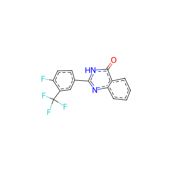 O=c1[nH]c(-c2ccc(F)c(C(F)(F)F)c2)nc2ccccc12